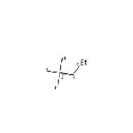 [CH]CCC(C)(C)C